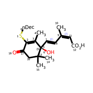 CCCCCCCCCCSC1=C(C)[C@](O)(/C=C/C(C)=C\C(=O)O)C(C)(C)CC1=O